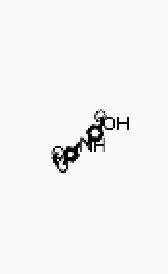 O=C(O)C1CCC(NCc2ccc3c(c2)OCCO3)CC1